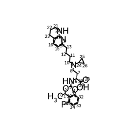 CC(OC(=O)N[C@@H](CCN(CCCCc1ccc2c(n1)NCCC2)C1CC1)C(=O)O)c1ccccc1F